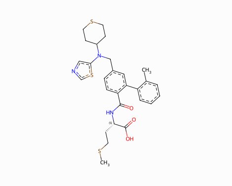 CSCC[C@H](NC(=O)c1ccc(CN(c2cncs2)C2CCSCC2)cc1-c1ccccc1C)C(=O)O